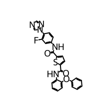 O=C(Nc1ccc(-n2cncn2)c(F)c1)c1ccc(C(=O)Nc2ccccc2Oc2ccccc2)s1